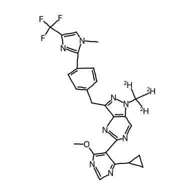 [2H]C([2H])([2H])n1nc(Cc2ccc(-c3nc(C(F)(F)F)cn3C)cc2)c2nc(-c3c(OC)ncnc3C3CC3)ncc21